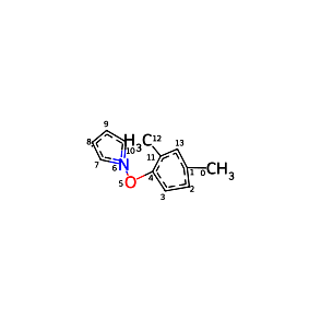 Cc1ccc(On2c[c]cc2)c(C)c1